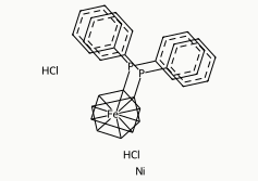 Cl.Cl.[Ni].c1ccc(P(c2ccccc2)[C]23[CH]4[CH]5[CH]6[CH]2[Fe]56432789[CH]3[CH]2[CH]7[C]8(P(c2ccccc2)c2ccccc2)[CH]39)cc1